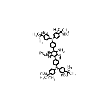 CCCCC(C)(C)c1ccc(N(c2ccc(-c3c(N)c(N=S)c(-c4ccc(N(c5ccc(C(C)(C)CCCC)cc5)c5ccc(C(C)(C)CCCC)cc5)cc4)c4nn(CC(C)C)nc34)cc2)c2ccc(C(C)(C)CCCC)cc2)cc1